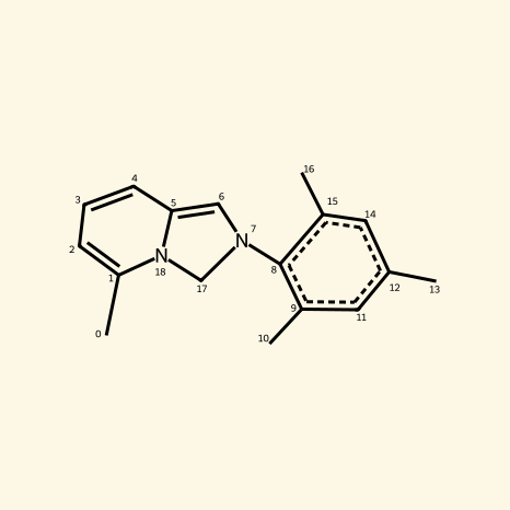 CC1=CC=CC2=CN(c3c(C)cc(C)cc3C)CN12